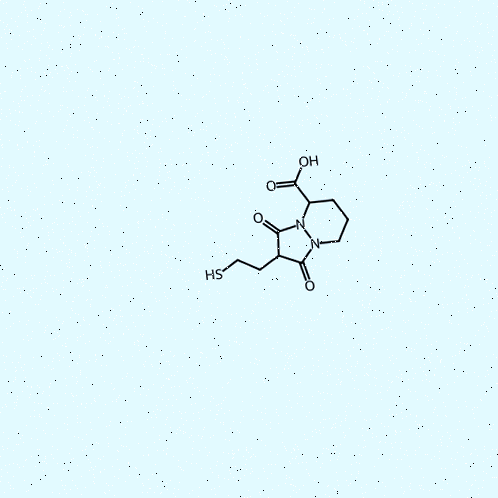 O=C(O)C1CCCN2C(=O)C(CCS)C(=O)N12